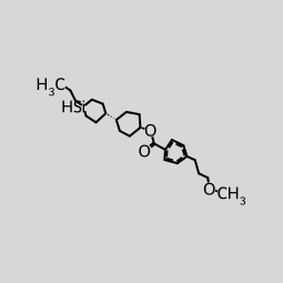 CCC[SiH]1CCC([C@H]2CC[C@H](OC(=O)c3ccc(CCCOC)cc3)CC2)CC1